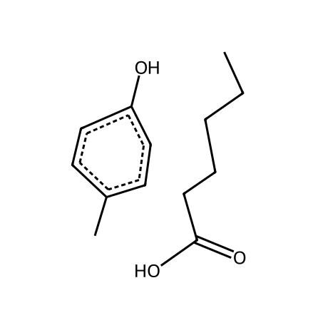 CCCCCC(=O)O.Cc1ccc(O)cc1